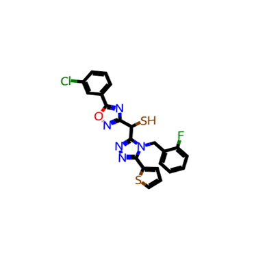 Fc1ccccc1Cn1c(-c2cccs2)nnc1C(S)c1noc(-c2cccc(Cl)c2)n1